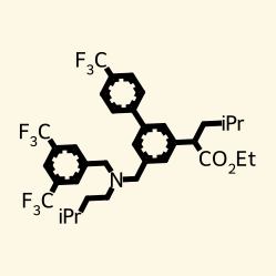 CCOC(=O)C(CC(C)C)c1cc(CN(CCC(C)C)Cc2cc(C(F)(F)F)cc(C(F)(F)F)c2)cc(-c2ccc(C(F)(F)F)cc2)c1